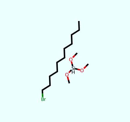 CCCCCCCCCCCBr.CO[SiH](OC)OC